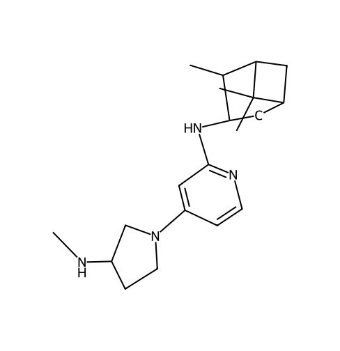 CNC1CCN(c2ccnc(NC3CC4CC(C3C)C4(C)C)c2)C1